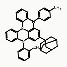 Cc1ccc(N2c3ccccc3B3c4ccccc4N(c4ccccc4C)c4cc(C56CC7CC(CC(C7)C5)C6)cc2c43)cc1